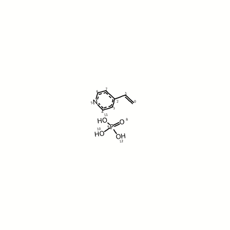 C=Cc1ccncc1.O=P(O)(O)O